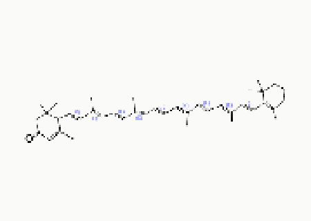 CC1=CC(=O)CC(C)(C)C1/C=C/C(C)=C/C=C/C(C)=C/C=C/C=C(C)/C=C/C=C(C)/C=C/C1=C(C)CCCC1(C)C